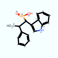 O=C(O)C(c1ccccc1)C(c1c[nH]c2ccccc12)[PH](=O)O